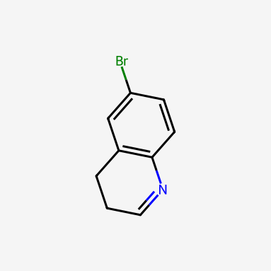 Brc1ccc2c(c1)CCC=N2